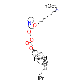 CCCCCCCC/C=C\CCCCCCCCOCC(CN1CCCCC1)OCCOC(=O)CO[C@H]1CC[C@@]2(C)C(=CC[C@H]3[C@@H]4CC[C@H]([C@H](C)CCCC(C)C)[C@@]4(C)CC[C@@H]32)C1